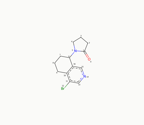 O=C1CCCN1C1CCCc2c(Br)cncc21